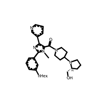 CCCCCCc1cccc(-c2nc(-c3cccnc3)c(C(=O)N3CCC(N4CCC[C@@H]4CO)CC3)n2C)c1